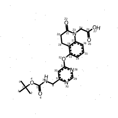 CC(C)(C)OC(=O)NCc1cc(Oc2cccc3c2CCC(=O)N3CC(=O)O)ncn1